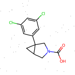 O=C(O)N1CC2CC2(c2cc(Cl)cc(Cl)c2)C1